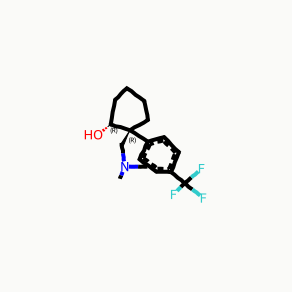 CN(C)C[C@]1(c2ccc(C(F)(F)F)cc2)CCCC[C@H]1O